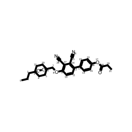 CCCC12CCC(COc3ccc(-c4ccc(OC(=O)CC)cc4)c(C#N)c3C#N)(CC1)CC2